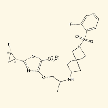 CCOC(=O)c1sc([C@@H]2C[C@@H]2F)nc1OCC(C)NC1CC2(C1)CN(S(=O)(=O)c1ccccc1F)C2